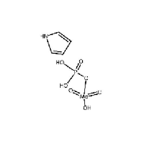 O=P(O)(O)[O][Mo](=[O])(=[O])[OH].c1cc[nH]c1